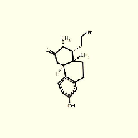 CC(C)CC[C@H]1[C@@H](C)C(=O)C[C@@H]2c3ccc(O)cc3CC[C@]21C